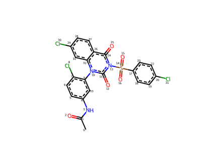 CC(=O)Nc1ccc(Cl)c(-n2c(=O)n(S(=O)(=O)c3ccc(Cl)cc3)c(=O)c3ccc(Cl)cc32)c1